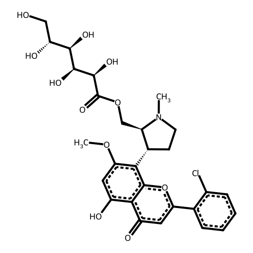 COc1cc(O)c2c(=O)cc(-c3ccccc3Cl)oc2c1[C@H]1CCN(C)[C@@H]1COC(=O)[C@H](O)[C@@H](O)[C@H](O)[C@H](O)CO